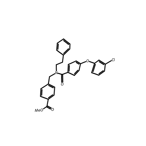 COC(=O)c1ccc(CN(CCc2ccccc2)C(=O)c2ccc(Oc3cccc(Cl)c3)cc2)cc1